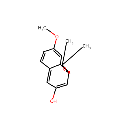 COC1=CC23OC(C)(C)CCC2C=C(O)C=C3C=C1